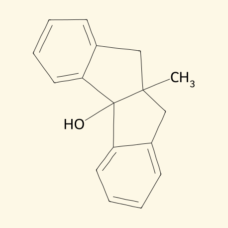 CC12Cc3ccccc3C1(O)c1ccccc1C2